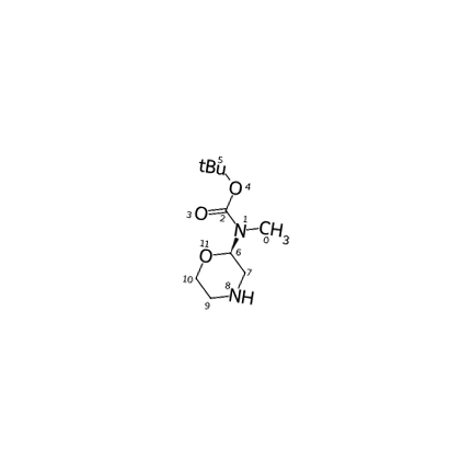 CN(C(=O)OC(C)(C)C)[C@H]1CNCCO1